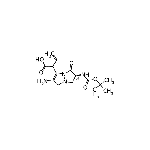 C=CC(C(=O)O)C1=C(N)CN2C[C@H](NC(=O)OC(C)(C)C)C(=O)N12